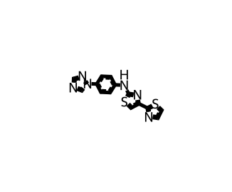 c1csc(-c2csc(Nc3ccc(-n4cncn4)cc3)n2)n1